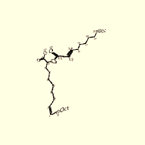 CCCCCCCC/C=C\CCCCCCC(OC(=O)C=CCCCCCCCCCCCCCCC)C([O])=O